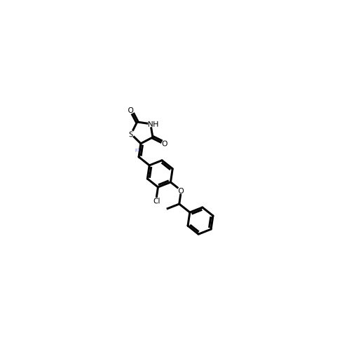 CC(Oc1ccc(/C=C2/SC(=O)NC2=O)cc1Cl)c1ccccc1